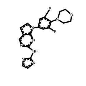 Fc1cc(-n2ccc3cnc(Nc4nccs4)nc32)cc(F)c1N1CCOCC1